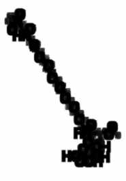 CC(=O)OCc1ccc(O[C@@H]2O[C@H](C(=O)O)[C@@H](O)[C@H](O)[C@H]2O)c(NC(=O)CCOCCOCCOCCOCCOCCOCCOCCOCCNC(=O)CCN2C(=O)C=CC2=O)c1